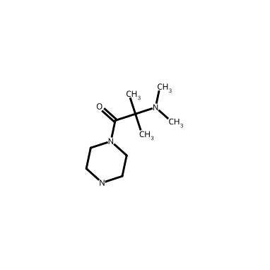 CN(C)C(C)(C)C(=O)N1CC[N]CC1